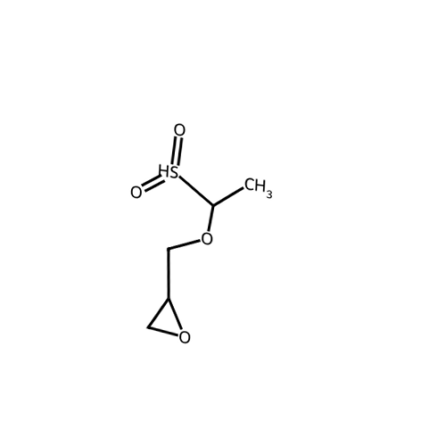 CC(OCC1CO1)[SH](=O)=O